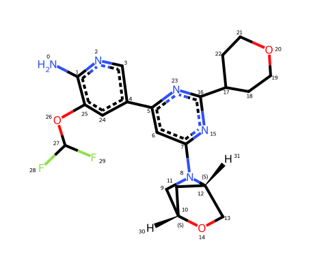 Nc1ncc(-c2cc(N3C[C@@H]4C[C@H]3CO4)nc(C3CCOCC3)n2)cc1OC(F)F